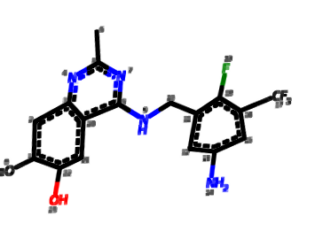 COc1cc2nc(C)nc(NCc3cc(N)cc(C(F)(F)F)c3F)c2cc1O